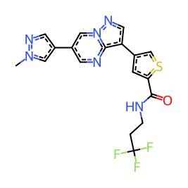 Cn1cc(-c2cnc3c(-c4csc(C(=O)NCCC(F)(F)F)c4)cnn3c2)cn1